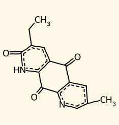 CCc1cc2c([nH]c1=O)C(=O)c1ncc(C)cc1C2=O